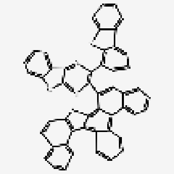 c1ccc2c(c1)cc(-c1nc3oc4ccccc4c3nc1-c1cccc3c1sc1ccccc13)c1c3sc4ccc5ccccc5c4c3c3ccccc3c21